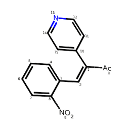 CC(=O)/C(=C/c1ccccc1[N+](=O)[O-])c1ccncc1